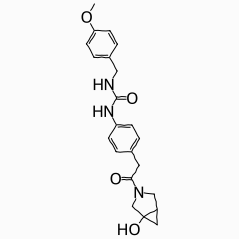 COc1ccc(CNC(=O)Nc2ccc(CC(=O)N3CC4CC4(O)C3)cc2)cc1